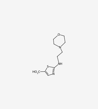 O=C(O)c1cnc(NCCN2CCOCC2)s1